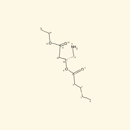 CCCCC(=O)O[C@@H](CN)CC(=O)OCC